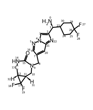 N[C@H](c1cn2ncc(CN3C[C@H]4[C@@H](CNC3=O)C4(F)F)cc2n1)C1CCC(F)(F)CC1